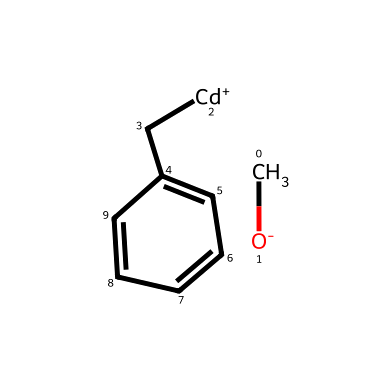 C[O-].[Cd+][CH2]c1ccccc1